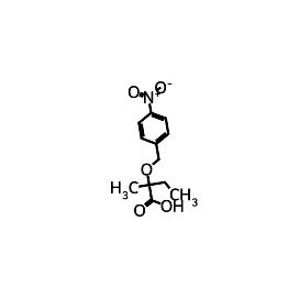 CCC(C)(OCc1ccc([N+](=O)[O-])cc1)C(=O)O